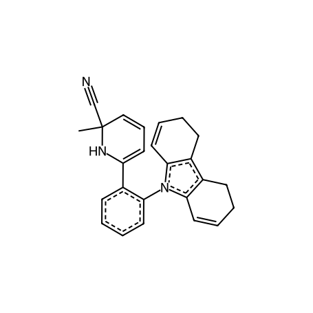 CC1(C#N)C=CC=C(c2ccccc2-n2c3c(c4c2C=CCC4)CCC=C3)N1